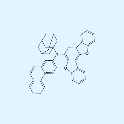 c1ccc2c(c1)ccc1cc(N(c3cc4c5ccccc5oc4c4c3oc3ccccc34)C34CC5CC(CC(C5)C3)C4)ccc12